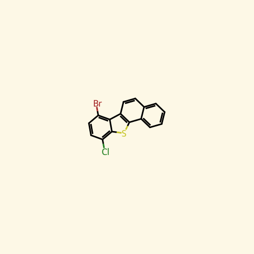 Clc1ccc(Br)c2c1sc1c3ccccc3ccc12